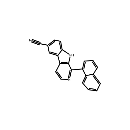 N#Cc1ccc2[nH]c3c(-c4cccc5ccccc45)nccc3c2c1